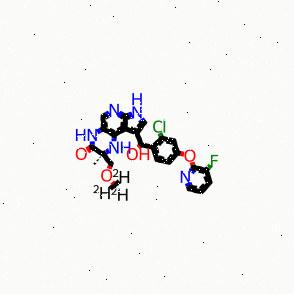 [2H]C([2H])([2H])OC[C@]1(C)Nc2c(cnc3[nH]cc(C(O)c4ccc(Oc5ncccc5F)cc4Cl)c23)NC1=O